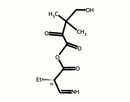 CC[C@@H](C=N)C(=O)OC(=O)C(=O)C(C)(C)CO